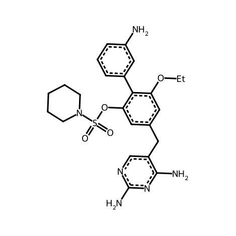 CCOc1cc(Cc2cnc(N)nc2N)cc(OS(=O)(=O)N2CCCCC2)c1-c1cccc(N)c1